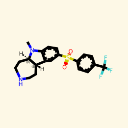 CN1c2ccc(S(=O)(=O)c3ccc(C(F)(F)F)cc3)cc2[C@@H]2CCNCC[C@H]21